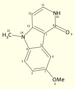 COc1ccc2c(c1)c1c(=O)[nH]ccc1n2C